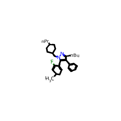 CCCCc1nn(CC2CCC(CCC)CC2)c(C2=CCC(C)C=C2F)c1-c1ccccc1